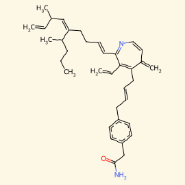 C=CC1=C(C/C=C/Cc2ccc(CC(N)=O)cc2)C(=C)C=CN=C1/C=C/CC/C(=C/C(C)C=C)C(C)CCC